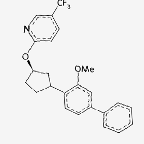 COc1cc(-c2ccccc2)ccc1C1CC[C@@H](Oc2ccc(C(F)(F)F)cn2)C1